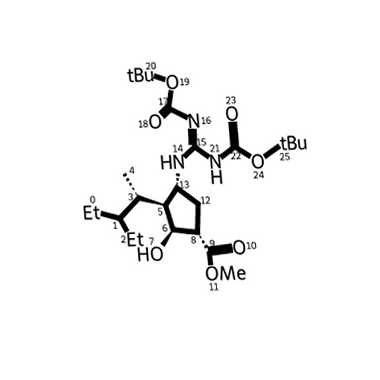 CCC(CC)[C@H](C)[C@@H]1[C@H](O)[C@@H](C(=O)OC)C[C@H]1N/C(=N\C(=O)OC(C)(C)C)NC(=O)OC(C)(C)C